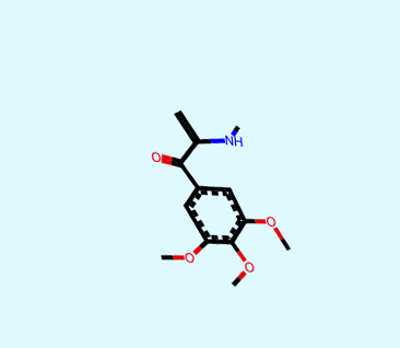 C=C(NC)C(=O)c1cc(OC)c(OC)c(OC)c1